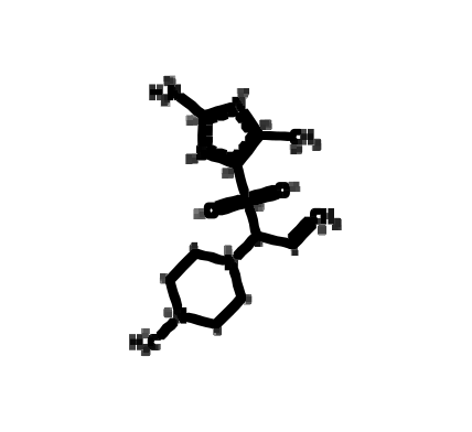 C=CC(N1CCN(C)CC1)S(=O)(=O)c1sc(N)nc1C